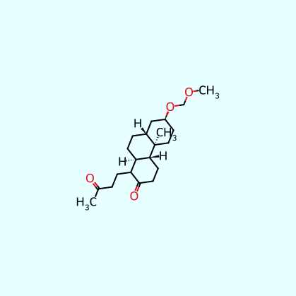 COCO[C@H]1CC[C@]2(C)[C@H](CC[C@@H]3C(CCC(C)=O)C(=O)CC[C@H]32)C1